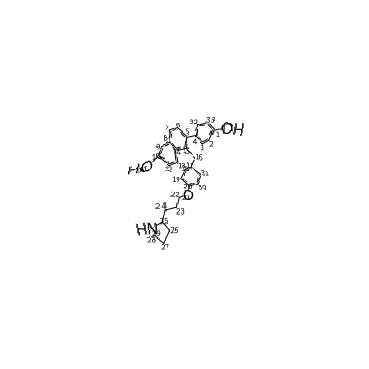 Oc1ccc(-c2ccc3cc(O)ccc3c2Cc2ccc(OCCCC3CCCN3)cc2)cc1